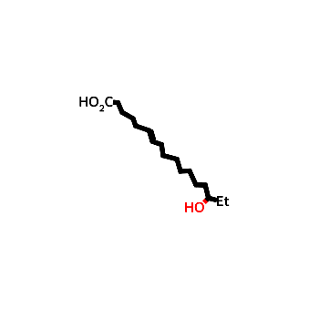 CCC(O)CCCCCCCC=CCCCCC(=O)O